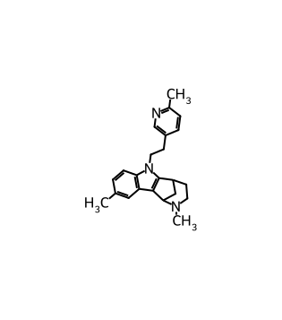 Cc1ccc2c(c1)c1c(n2CCc2ccc(C)nc2)C2CCN(C)C1C2